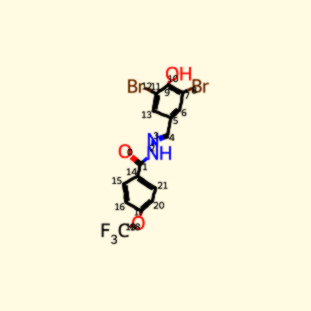 O=C(NN=Cc1cc(Br)c(O)c(Br)c1)c1ccc(OC(F)(F)F)cc1